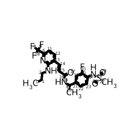 CCCNc1nc(C(F)(F)F)ccc1C=CC(=O)N[C@H](C)c1ccc(NS(C)(=O)=O)c(F)c1